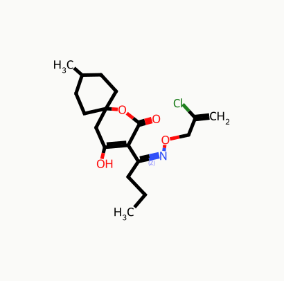 C=C(Cl)CO/N=C(/CCC)C1=C(O)CC2(CCC(C)CC2)OC1=O